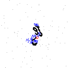 CC(NC(=O)c1c(N)nc2cccnn12)c1nc2cccc(C#Cc3cnn(C)c3)n2c1-c1ccccc1